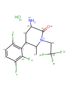 CC1C(c2c(F)ccc(F)c2F)CC(N)C(=O)N1CC(F)(F)F.Cl